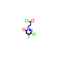 O=C(Cl)CCn1nc(Cl)c(F)cc1=O